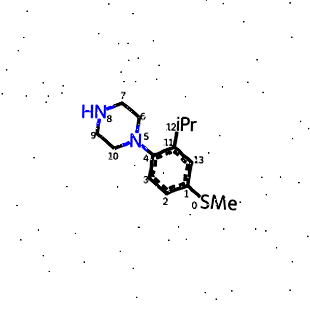 CSc1ccc(N2CCNCC2)c(C(C)C)c1